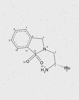 CC(C)(C)[C@H](N)CN1Cc2ccccc2S1(=O)=O